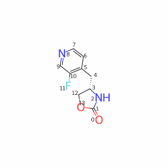 O=C1N[C@@H](Cc2ccncc2F)CO1